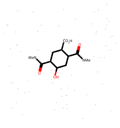 CNC(=O)C1CC(C(=O)O)C(C(=O)NC)CC1O